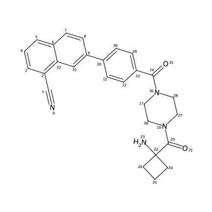 N#Cc1cccc2ccc(-c3ccc(C(=O)N4CCN(C(=O)C5(N)CCC5)CC4)cc3)cc12